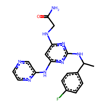 CC(Nc1nc(NCC(N)=O)cc(Nc2cnccn2)n1)c1ccc(F)cc1